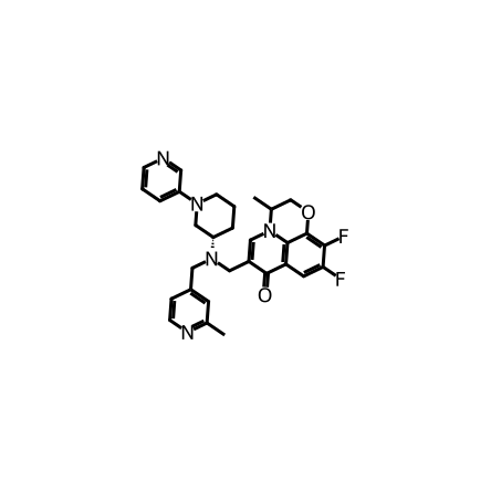 Cc1cc(CN(Cc2cn3c4c(c(F)c(F)cc4c2=O)OCC3C)[C@H]2CCCN(c3cccnc3)C2)ccn1